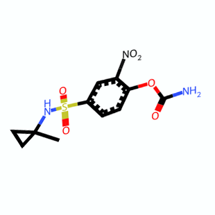 CC1(NS(=O)(=O)c2ccc(OC(N)=O)c([N+](=O)[O-])c2)CC1